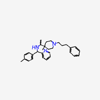 C=C(NC(c1ccc(C)cc1)c1ccccn1)C1(C)CCN(CCCc2ccccc2)CC1